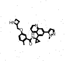 Cc1ccc(OCC2CCN2)cc1C(=O)NC1(c2cc(-c3ccnn3C)cc3ncccc23)CC1